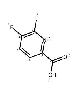 O=C(O)c1ccc(F)c(F)n1